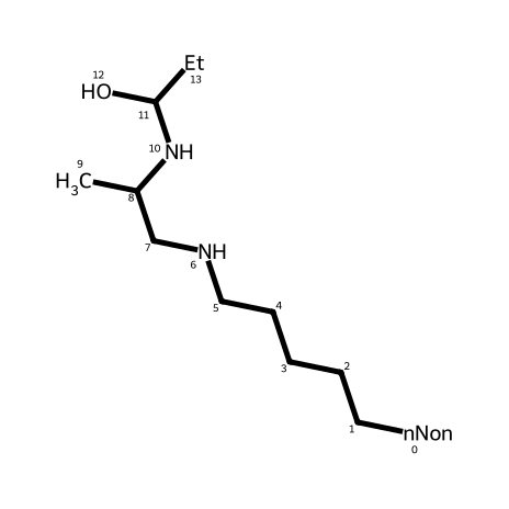 CCCCCCCCCCCCCCNCC(C)NC(O)CC